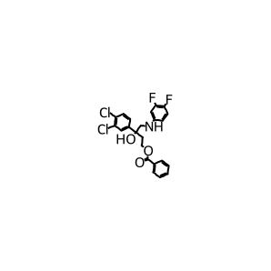 O=C(OCCC(O)(CNc1ccc(F)c(F)c1)c1ccc(Cl)c(Cl)c1)c1ccccc1